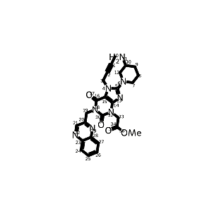 CC#CCn1c(N2CCCC(N)C2)nc2c1c(=O)n(Cc1cnc3ccccc3n1)c(=O)n2CC(=O)OC